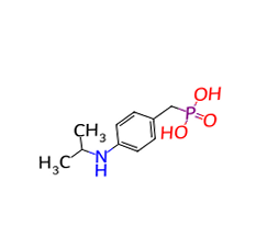 CC(C)Nc1ccc(CP(=O)(O)O)cc1